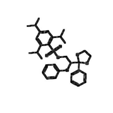 CC(C)c1cc(C(C)C)c(S(=O)(=O)OCC(Oc2ccccc2)C2(c3ccccc3)OCCO2)c(C(C)C)c1